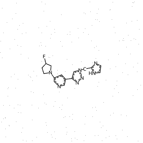 FC1CCN(c2cncc(-c3cn(Cc4ncc[nH]4)nn3)c2)C1